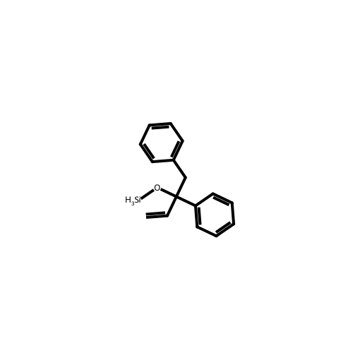 C=CC(Cc1ccccc1)(O[SiH3])c1ccccc1